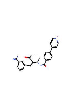 COC(=O)C(Cc1cccc(C(=N)N)c1)C(C)NC(=O)c1ccc(-c2cc[n+]([O-])cc2)cc1.Cl